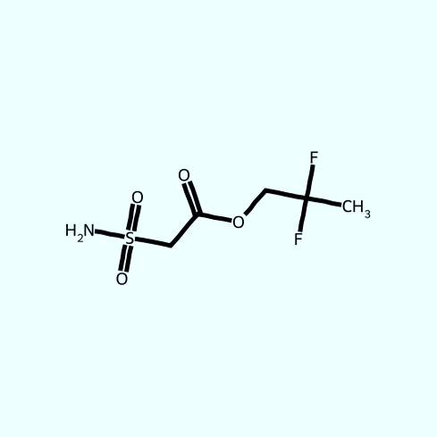 CC(F)(F)COC(=O)CS(N)(=O)=O